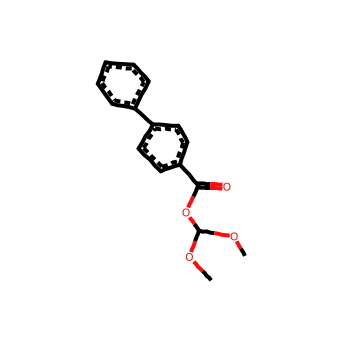 COC(OC)OC(=O)c1ccc(-c2ccccc2)cc1